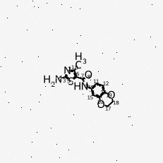 Cc1nc(N)sc1C(=O)Nc1ccc2c(c1)OCCO2